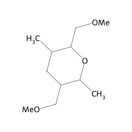 COCC1CC(C)C(COC)OC1C